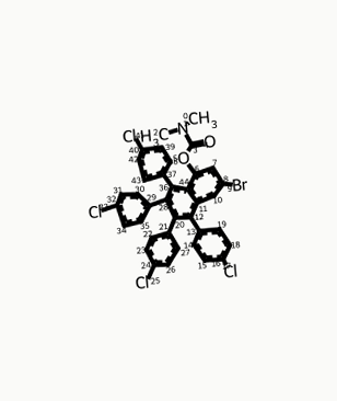 CN(C)C(=O)Oc1cc(Br)cc2c(-c3ccc(Cl)cc3)c(-c3ccc(Cl)cc3)c(-c3ccc(Cl)cc3)c(-c3ccc(Cl)cc3)c12